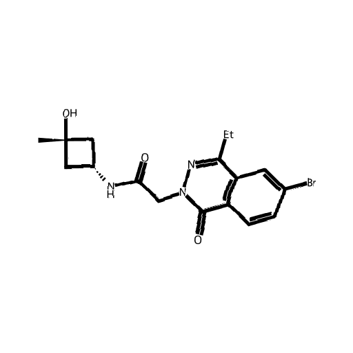 CCc1nn(CC(=O)N[C@H]2C[C@@](C)(O)C2)c(=O)c2ccc(Br)cc12